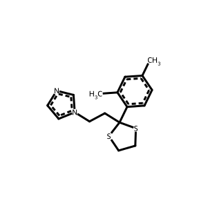 Cc1ccc(C2(CCn3ccnc3)SCCS2)c(C)c1